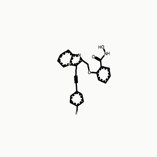 O=C(NO)c1ccccc1OCc1nc2ccccn2c1C#Cc1ccc(F)cc1